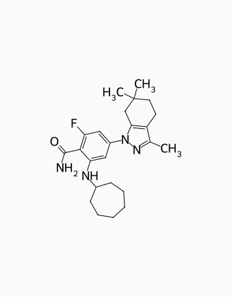 Cc1nn(-c2cc(F)c(C(N)=O)c(NC3CCCCCC3)c2)c2c1CCC(C)(C)C2